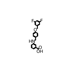 O=C(O)c1cccc(NCc2ccc(OCc3cc(F)cc(F)c3)cc2)c1